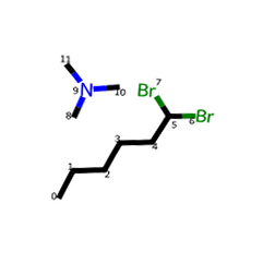 CCCCCC(Br)Br.CN(C)C